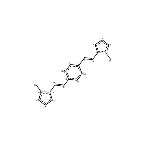 Cn1cccc1C=Cc1cnc(C=Cc2cccn2C)cn1